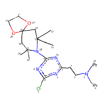 CC(C)N(CCc1nc(Cl)nc(N2C(C)(C)CC3(CC2(C)C)OCCO3)n1)C(C)C